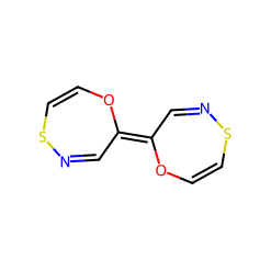 C1=CSN=CC(=C2C=NSC=CO2)O1